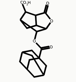 O=C(O)C1C2CC3C(OC(=O)C31)C2OC(=O)C12CC3CC(CC(C3)C1)C2